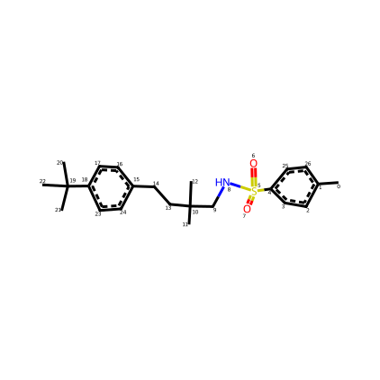 Cc1ccc(S(=O)(=O)NCC(C)(C)CCc2ccc(C(C)(C)C)cc2)cc1